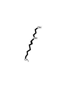 CCCCCCC=CNCCCO